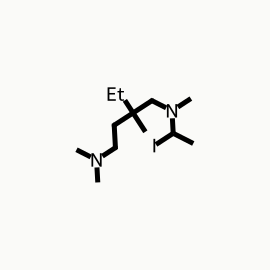 CCC(C)(CCN(C)C)CN(C)C(C)I